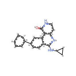 O=c1[nH]ccc2nc(NC3CC3)c3ccc(-c4ccccc4)cc3c12